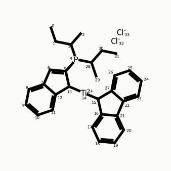 CCC(C)P(C1=Cc2ccccc2[CH]1[Ti+2][CH]1c2ccccc2-c2ccccc21)C(C)CC.[Cl-].[Cl-]